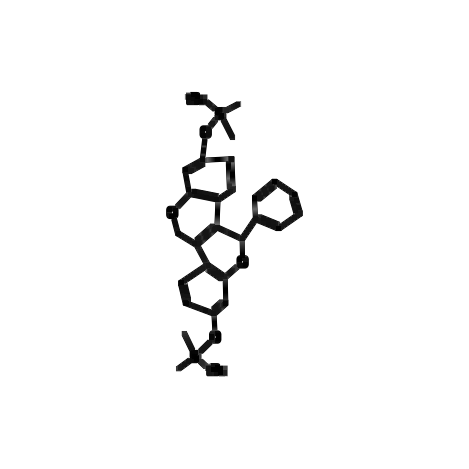 CC(C)(C)[Si](C)(C)Oc1ccc2c(c1)OC(c1ccccc1)C1=C2COc2cc(O[Si](C)(C)C(C)(C)C)ccc21